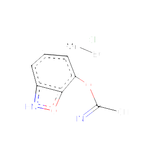 CC(=N)Oc1cccc2[nH]oc12.C[CH2][Mn+].[Cl-]